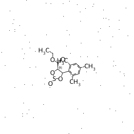 CCOC(=O)[C@@H]1OS(=O)OC1c1c(C)cc(C)cc1C